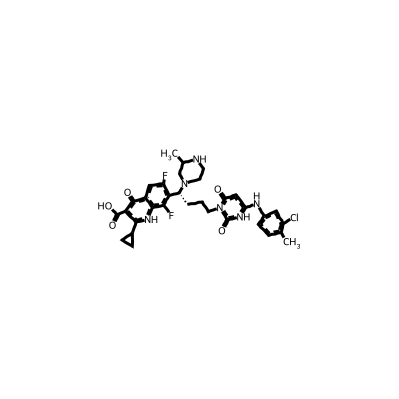 Cc1ccc(Nc2cc(=O)n(CCC[C@H](c3c(F)cc4c(=O)c(C(=O)O)c(C5CC5)[nH]c4c3F)N3CCNC(C)C3)c(=O)[nH]2)cc1Cl